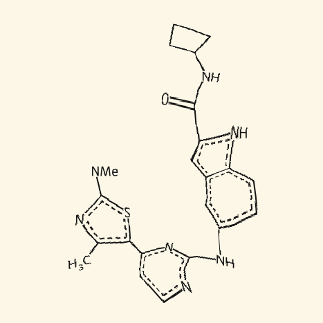 CNc1nc(C)c(-c2ccnc(Nc3ccc4[nH]c(C(=O)NC5CCC5)cc4c3)n2)s1